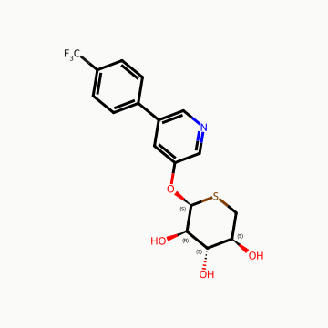 O[C@@H]1[C@@H](O)[C@@H](Oc2cncc(-c3ccc(C(F)(F)F)cc3)c2)SC[C@H]1O